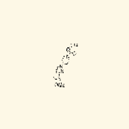 COC(C)Sc1nn(C2CCN(C(=O)OC(C)(C)C)CC2)cc1C